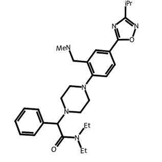 CCN(CC)C(=O)C(c1ccccc1)N1CCN(c2ccc(-c3nc(C(C)C)no3)cc2CNC)CC1